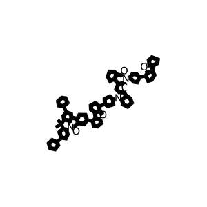 CC1(C)c2cc(-c3ccccc3)ccc2-n2c(=O)c3cc(-c4cccc5oc6c(-c7ccc(-n8c9ccccc9c9cc%10c(cc98)c8ccccc8c(=O)n%10-c8ccc(-c9cccc%10c9oc9ccccc9%10)cc8)cc7)cccc6c45)ccc3c3cc(-c4ccccc4)cc1c32